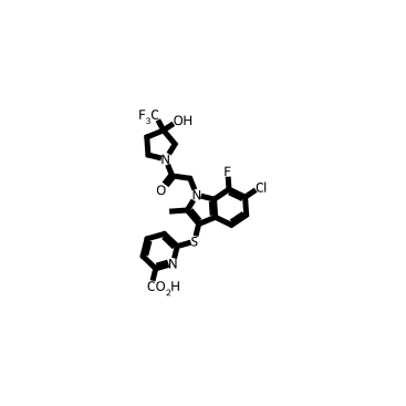 Cc1c(Sc2cccc(C(=O)O)n2)c2ccc(Cl)c(F)c2n1CC(=O)N1CCC(O)(C(F)(F)F)C1